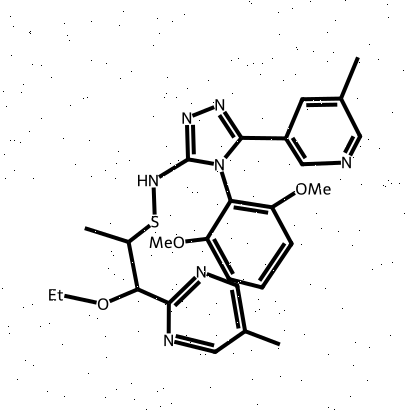 CCOC(c1ncc(C)cn1)C(C)SNc1nnc(-c2cncc(C)c2)n1-c1c(OC)cccc1OC